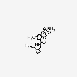 C=CCN1CCCC1CNC(=O)c1cc(C)cc2c1OCC(S(N)(=O)=O)O2